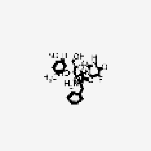 Cc1ccc(S(=O)(=O)O)cc1.N[C@@H](Cc1ccccc1)C(=O)[C@@]1(n2cc(F)c(=O)[nH]c2=O)O[C@H](CO)[C@@H](O)[C@H]1O